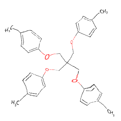 Cc1ccc(OCC(COc2ccc(C)cc2)(COc2ccc(C)cc2)COc2ccc(C)cc2)cc1